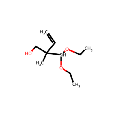 C=CC(C)(CO)[SiH](OCC)OCC